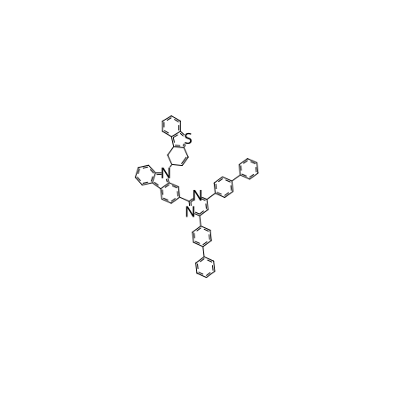 C1=CC(n2c3ccccc3c3ccc(-c4nc(-c5ccc(-c6ccccc6)cc5)cc(-c5ccc(-c6ccccc6)cc5)n4)cc32)Cc2c1sc1ccccc21